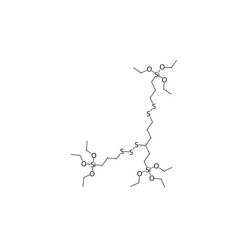 CCO[Si](CCCSSCCC[C](CC[Si](OCC)(OCC)OCC)SSSCCC[Si](OCC)(OCC)OCC)(OCC)OCC